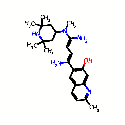 Cc1ccc2cc(/C(N)=C/C=C(\N)N(C)C3CC(C)(C)NC(C)(C)C3)c(O)cc2n1